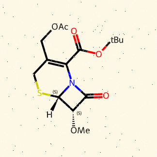 CO[C@H]1C(=O)N2C(C(=O)OC(C)(C)C)=C(COC(C)=O)CS[C@@H]12